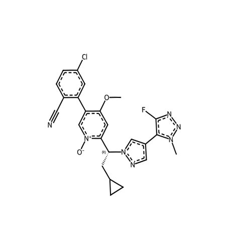 COc1cc([C@@H](CC2CC2)n2cc(-c3c(F)nnn3C)cn2)[n+]([O-])cc1-c1cc(Cl)ccc1C#N